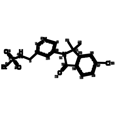 CCS(=O)(=O)NCc1cncc(N2C(=O)c3ccc(Cl)cc3C2(C)C)c1